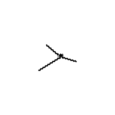 CCCCCCCCCCCCCCCCCCc1n(CCCCCCCCCCC)cc[n+]1CCCCCCCCCCCC